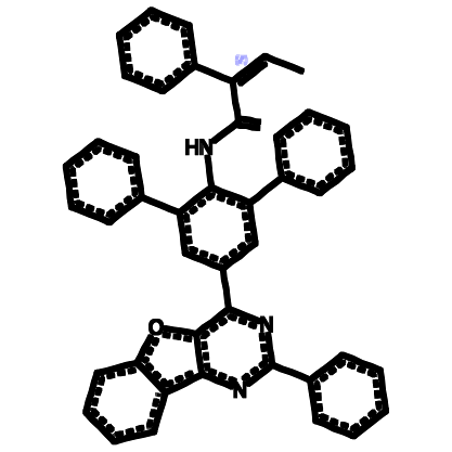 C=C(Nc1c(-c2ccccc2)cc(-c2nc(-c3ccccc3)nc3c2oc2ccccc23)cc1-c1ccccc1)/C(=C\C)c1ccccc1